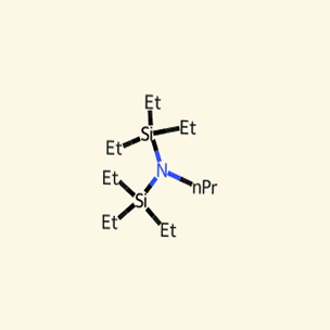 CCCN([Si](CC)(CC)CC)[Si](CC)(CC)CC